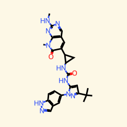 CNc1ncc2cc(C3CC3NC(=O)Nc3cc(C(C)(C)C)nn3-c3ccc4[nH]ncc4c3)c(=O)n(C)c2n1